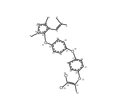 CC(C)=Cc1c(C)nn(C)c1Oc1ccc(Oc2ccc(OC(C)=C(Cl)Cl)cc2)cc1